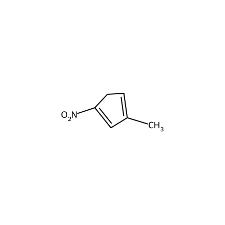 CC1=CCC([N+](=O)[O-])=C1